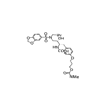 CNC(=O)OCCCOc1ccc(C[C@H](NC(=O)O)[C@@H](O)CN(CC(C)C)S(=O)(=O)c2ccc3c(c2)OCO3)cc1